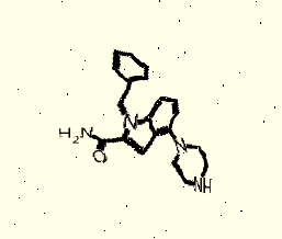 NC(=O)c1cc2c(N3CCNCC3)cccc2n1Cc1ccccc1